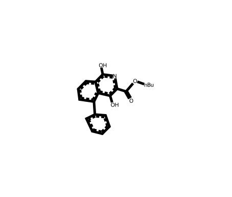 CCCCOC(=O)c1nc(O)c2cccc(-c3ccccc3)c2c1O